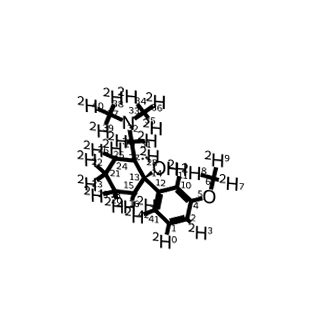 [2H]c1c([2H])c(OC([2H])([2H])[2H])c([2H])c([C@]2(O)C([2H])([2H])C([2H])([2H])C([2H])([2H])C([2H])([2H])[C@@]2([2H])C([2H])([2H])N(C([2H])([2H])[2H])C([2H])([2H])[2H])c1[2H]